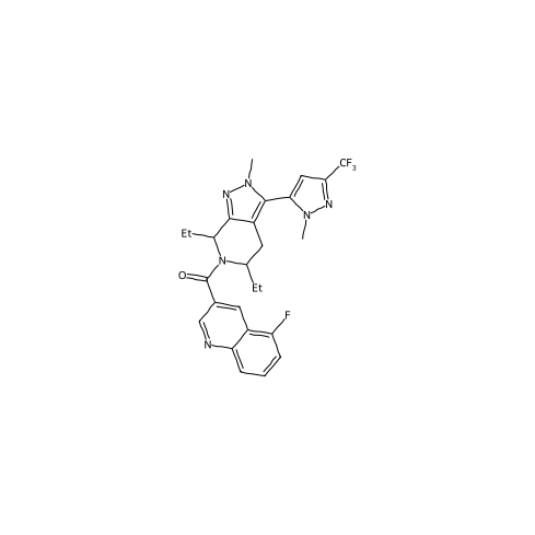 CCC1Cc2c(nn(C)c2-c2cc(C(F)(F)F)nn2C)C(CC)N1C(=O)c1cnc2cccc(F)c2c1